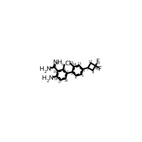 Cc1c(-c2ccc(C3CC(F)(F)C3)cc2Cl)ccc(N)c1C(=N)N